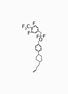 C=CCCC1CCC(c2ccc(COC(F)(F)Cc3cc(F)c(C(F)(F)F)c(F)c3)cc2)CC1